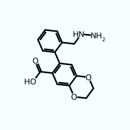 NNCc1ccccc1-c1cc2c(cc1C(=O)O)OCCO2